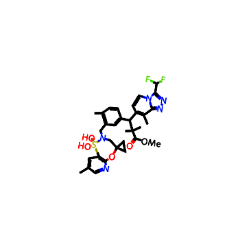 COC(=O)C(C)(C)C(c1ccc(C)c(CN2CC3(CC3)Oc3ncc(C)cc3S2(O)O)c1)c1ccn2c(C(F)F)nnc2c1C